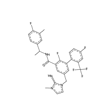 Cc1cc(C(C)NC(=O)c2cc(Cn3ccn(C)c3=N)cc(-c3ccc(F)cc3C(F)(F)F)c2F)ccc1F